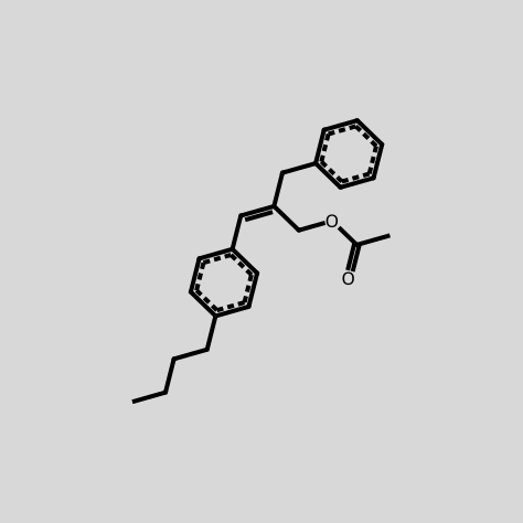 CCCCc1ccc(C=C(COC(C)=O)Cc2ccccc2)cc1